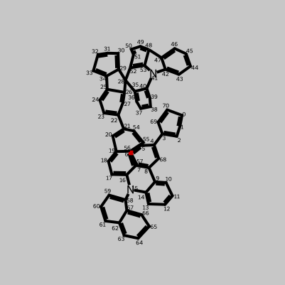 c1ccc(-c2cccc(-c3ccccc3N(c3ccc4cc(-c5ccc6c(c5)C5(c7ccccc7-6)c6ccccc6-n6c7ccccc7c7cccc5c76)ccc4c3)c3cccc4ccccc34)c2)cc1